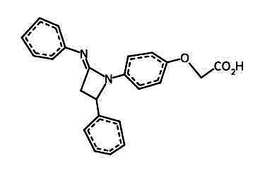 O=C(O)COc1ccc(N2C(=Nc3ccccc3)CC2c2ccccc2)cc1